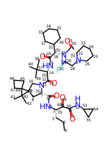 CCC[C@H](NC(=O)[C@@H]1C[C@@]2(CN1C(=O)[C@@H](NC(=O)[C@@H](NC(=O)[C@@H]1CCCCN1CCF)C1CCCCC1)C(C)(C)C)C(C)(C)C21CCC1)C(=O)C(=O)NC1CC1